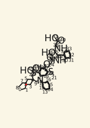 CCCCC1(CCCC)CN(c2ccccc2)c2cc(SC)c(OCC(=O)N[C@H](c3ccccc3)C(O)NCC(=O)O)cc2S(O)(O)C1